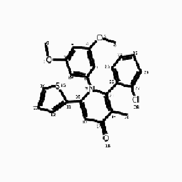 COc1cc(OC)cc(-n2c(-c3cccs3)cc(=O)c(C)c2-c2ccccc2Cl)c1